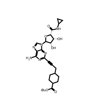 CC(C)COC(=O)C1CCC(CC#Cc2nc(N)c3ncn(C4O[C@H](C(=O)NC5CC5)[C@H](O)[C@@H]4O)c3n2)CC1